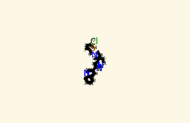 Clc1ccc(CN2CCC3(CCn4nc(-c5cnc6ccccc6c5)cc43)C2)s1